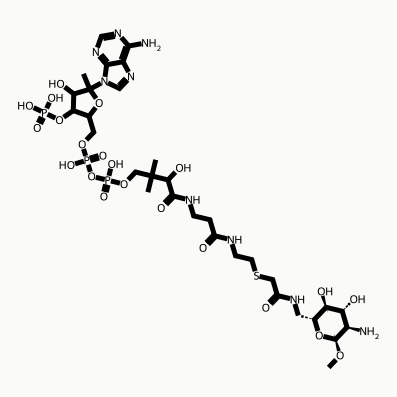 CO[C@H]1O[C@H](CNC(=O)CSCCNC(=O)CCNC(=O)C(O)C(C)(C)COP(=O)(O)OP(=O)(O)OCC2OC(C)(n3cnc4c(N)ncnc43)C(O)C2OP(=O)(O)O)[C@@H](O)[C@H](O)[C@H]1N